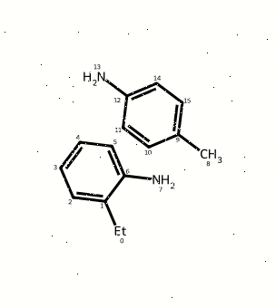 CCc1ccccc1N.Cc1ccc(N)cc1